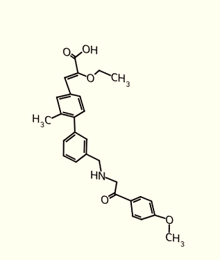 CCOC(=Cc1ccc(-c2cccc(CNCC(=O)c3ccc(OC)cc3)c2)c(C)c1)C(=O)O